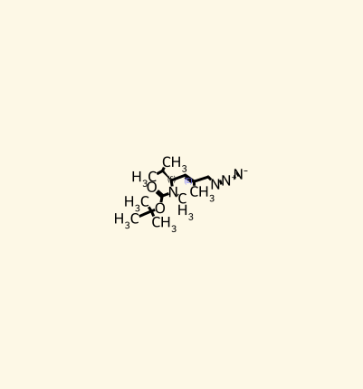 C/C(=C\[C@H](C(C)C)N(C)C(=O)OC(C)(C)C)CN=[N+]=[N-]